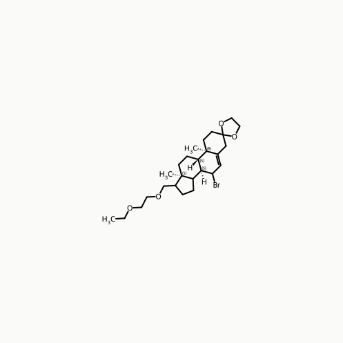 CCOCCOCC1CCC2[C@@H]3C(Br)C=C4CC5(CC[C@]4(C)[C@H]3CC[C@]12C)OCCO5